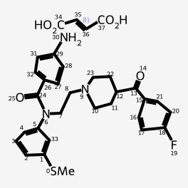 CSc1cccc(N(CCN2CCC(C(=O)c3ccc(F)cc3)CC2)C(=O)c2ccc(N)cc2)c1.O=C(O)/C=C/C(=O)O